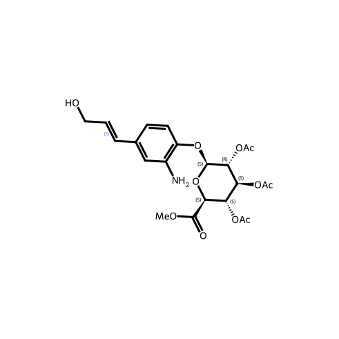 COC(=O)[C@H]1O[C@@H](Oc2ccc(/C=C/CO)cc2N)[C@H](OC(C)=O)[C@@H](OC(C)=O)[C@@H]1OC(C)=O